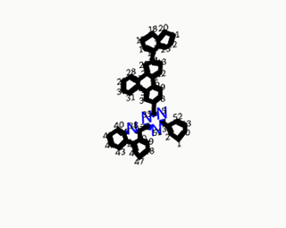 c1ccc(-c2nc(-c3ccc4c5ccc(-c6cccc7ccccc67)cc5c5ccccc5c4c3)nc(-c3nc4ccccc4c4ccccc34)n2)cc1